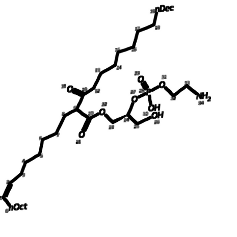 CCCCCCCC/C=C\CCCCCCC(C(=O)CCCCCCCCCCCCCCCCC)C(=O)OC[C@H](CO)OP(=O)(O)OCCN